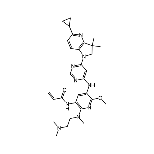 C=CC(=O)Nc1cc(Nc2cc(N3CC(C)(C)c4nc(C5CC5)ccc43)ncn2)c(OC)nc1N(C)CCN(C)C